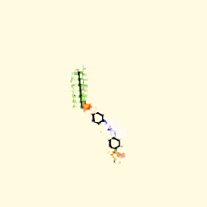 O=C(Nc1ccc(OS(=O)(=O)C(F)(F)C(F)(F)C(F)(F)C(F)(F)C(F)(F)C(F)(F)C(F)(F)C(F)(F)F)cc1)Nc1ccc(S(=O)(=O)C(F)(F)F)cc1